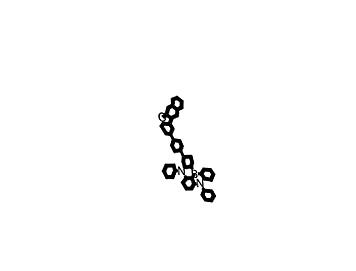 c1ccc(N2c3ccccc3B3c4ccc(-c5ccc(-c6ccc7oc8cc9ccccc9cc8c7c6)cc5)cc4N(c4ccccc4)c4cccc2c43)cc1